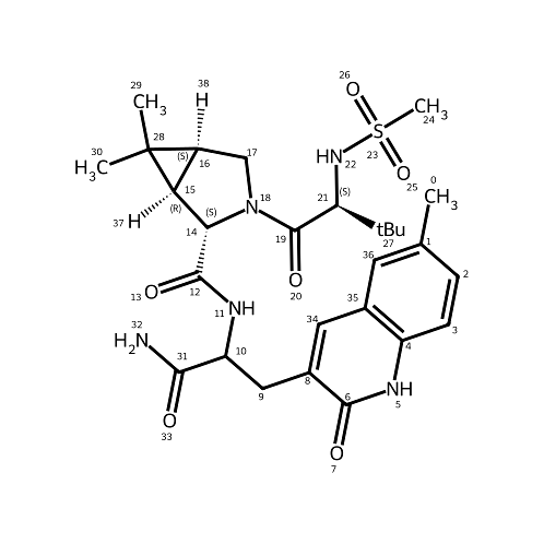 Cc1ccc2[nH]c(=O)c(CC(NC(=O)[C@@H]3[C@@H]4[C@H](CN3C(=O)[C@@H](NS(C)(=O)=O)C(C)(C)C)C4(C)C)C(N)=O)cc2c1